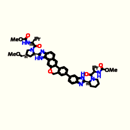 COC[C@H]1C[C@@H](c2nc3ccc4cc5c(cc4c3[nH]2)OCc2cc(-c3ccc4nc([C@@H]6CCCCN6C(=O)C(NC(=O)OC)C(C)C)[nH]c4c3)ccc2-5)N(C(=O)[C@@H](NC(=O)OC)C(C)C)C1